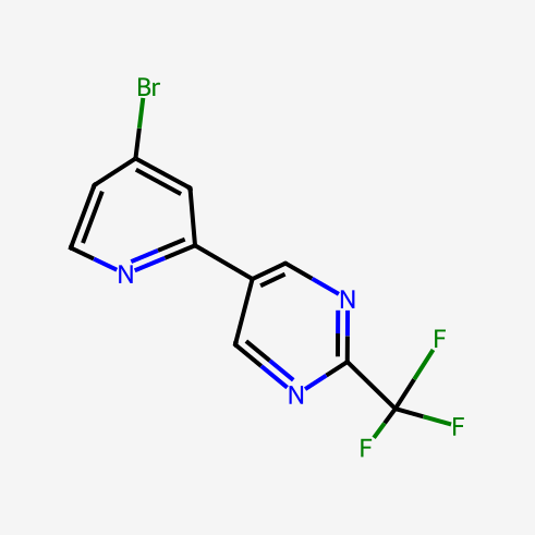 FC(F)(F)c1ncc(-c2cc(Br)ccn2)cn1